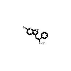 O=C(O)C(=Cc1c[nH]c2nc(Br)ccc12)c1ccccc1